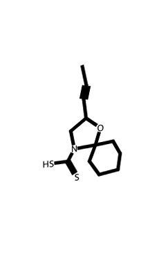 CC#CC1CN(C(=S)S)C2(CCCCC2)O1